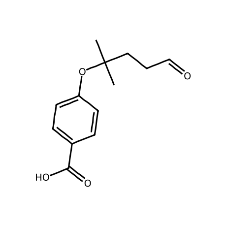 CC(C)(CCC=O)Oc1ccc(C(=O)O)cc1